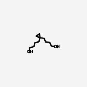 OCCCCC1(CCCCO)CC1